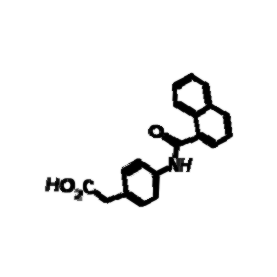 O=C(O)Cc1ccc(NC(=O)c2cccc3ccccc23)cc1